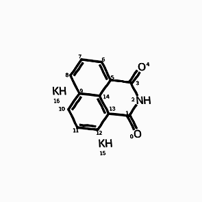 O=C1NC(=O)c2cccc3cccc1c23.[KH].[KH]